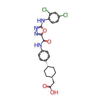 O=C(O)C[C@H]1CC[C@H](c2ccc(NC(=O)c3nnc(Nc4ccc(Cl)cc4Cl)o3)cc2)CC1